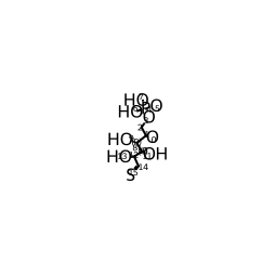 O=C(COP(=O)(O)O)[C@H](O)[C@H](O)C(O)C=S